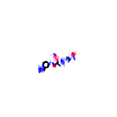 CCOc1nc(N2CC(N(C)C(=O)O)C2)ncc1C(=O)Nc1ccc2nn(C)cc2c1